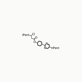 CCCCCc1cnc(-c2ccc(OC(=O)CC(Cl)C(C)CCC)cc2)nc1